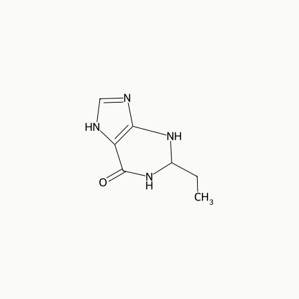 CCC1NC(=O)c2[nH]cnc2N1